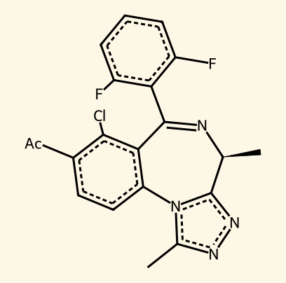 CC(=O)c1ccc2c(c1Cl)C(c1c(F)cccc1F)=N[C@@H](C)c1nnc(C)n1-2